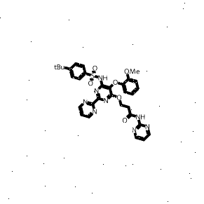 COc1ccccc1Oc1c(NS(=O)(=O)c2ccc(C(C)(C)C)cc2)nc(-c2ncccn2)nc1OCCC(=O)Nc1ncccn1